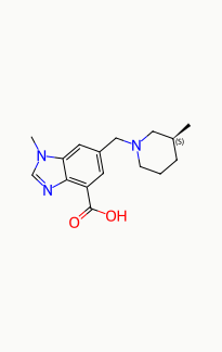 C[C@H]1CCCN(Cc2cc(C(=O)O)c3ncn(C)c3c2)C1